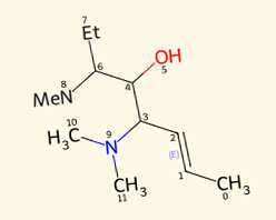 C/C=C/C(C(O)C(CC)NC)N(C)C